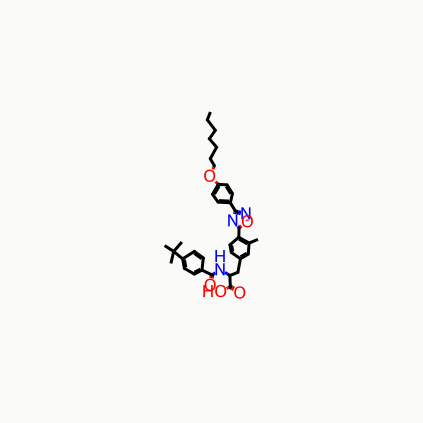 CCCCCCCOc1ccc(-c2noc(-c3ccc(CC(NC(=O)c4ccc(C(C)(C)C)cc4)C(=O)O)cc3C)n2)cc1